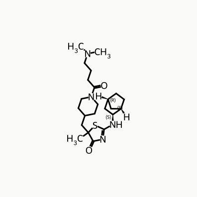 CN(C)CCCC(=O)N1CCC(CC2(C)SC(N[C@H]3C[C@@H]4CC[C@H]3C4)=NC2=O)CC1